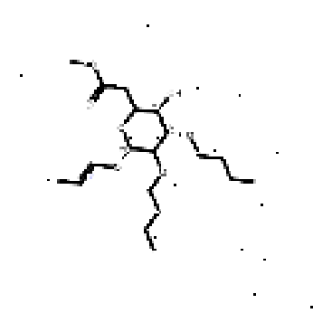 C/C=C/O[C@@H]1OC(CC(=O)OC)[C@@H](O)[C@H](OCCCC)C1OCCCC